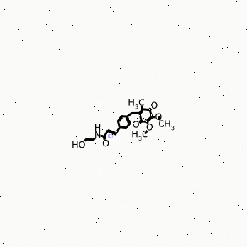 COC1=C(OC)C(=O)C(Cc2ccc(/C=C/C(=O)NCCO)cc2)=C(C)C1=O